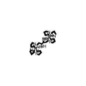 N=C(/C=C\N[B-](n1cccn1)(n1cccn1)n1cccn1)C(=N)/C=C\N[B-](n1cccn1)(n1cccn1)n1cccn1